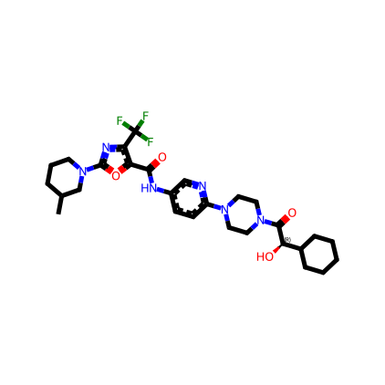 CC1CCCN(c2nc(C(F)(F)F)c(C(=O)Nc3ccc(N4CCN(C(=O)[C@H](O)C5CCCCC5)CC4)nc3)o2)C1